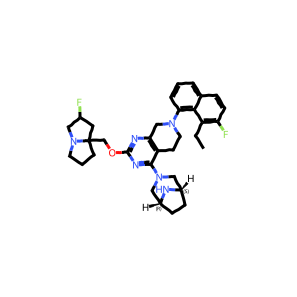 CCc1c(F)ccc2cccc(N3CCc4c(nc(OCC56CCCN5CC(F)C6)nc4N4C[C@H]5CC[C@@H](C4)N5)C3)c12